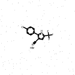 Br.N#Cc1cc(C(F)(F)F)[nH]c1-c1ccc(Cl)cc1